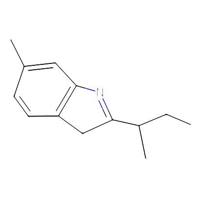 CCC(C)C1=Nc2cc(C)ccc2C1